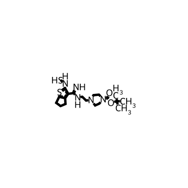 CC(C)(C)OC(=O)N1CCN(CCNC(=N)c2c(NS)sc3c2CCC3)CC1